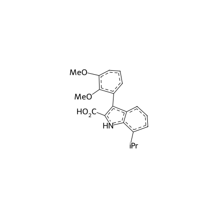 COc1cccc(-c2c(C(=O)O)[nH]c3c(C(C)C)cccc23)c1OC